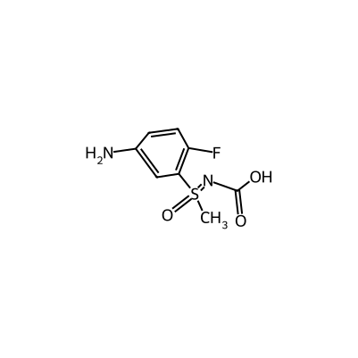 CS(=O)(=NC(=O)O)c1cc(N)ccc1F